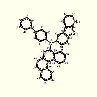 c1ccc(-c2ccc(N(c3ccc4sc5ncccc5c4c3)c3cc4ccc5ccccc5c4c4ccccc34)cc2)cc1